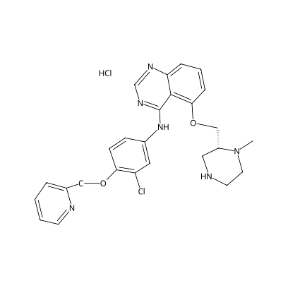 CN1CCNC[C@@H]1COc1cccc2ncnc(Nc3ccc(OCc4ccccn4)c(Cl)c3)c12.Cl